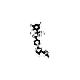 BC(B)(NC(=O)C1CCN(c2ncc(F)c(-c3nnc(C)s3)n2)CC1)c1cc(F)cc(F)c1F